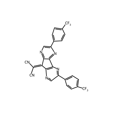 [C-]#[N+]C(C#N)=C1c2ncc(-c3ccc(C(F)(F)F)cc3)nc2-c2nc(-c3ccc(C(F)(F)F)cc3)cnc21